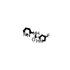 O=C(Nc1cccnn1)[C@@H]1C[C@@H](F)CN1